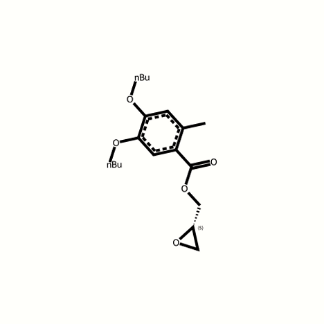 CCCCOc1cc(C)c(C(=O)OC[C@@H]2CO2)cc1OCCCC